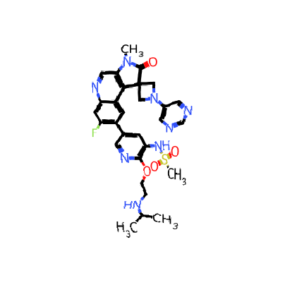 CC(C)NCCOc1ncc(-c2cc3c4c(cnc3cc2F)N(C)C(=O)C42CN(c3cncnc3)C2)cc1NS(C)(=O)=O